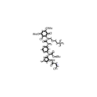 COc1cc(OC)c(Cl)c(N(COCC[Si](C)(C)C)C(=O)N(C)c2cc(N(C(=O)OC(C)(C)C)c3nn(C)cc3NC(=O)/C=C\Cl)ncn2)c1Cl